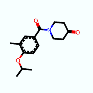 Cc1cc(C(=O)N2CCC(=O)CC2)ccc1OC(C)C